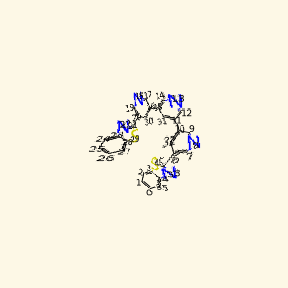 c1ccc2sc(-c3cncc(-c4cncc(-c5cncc(-c6nc7ccccc7s6)c5)c4)c3)nc2c1